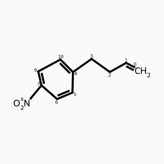 C=CCCc1ccc([N+](=O)[O-])cc1